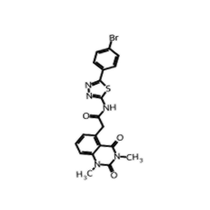 Cn1c(=O)c2c(CC(=O)Nc3nnc(-c4ccc(Br)cc4)s3)cccc2n(C)c1=O